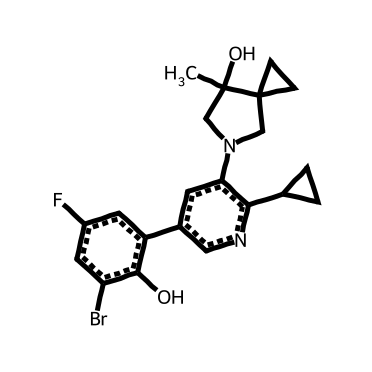 CC1(O)CN(c2cc(-c3cc(F)cc(Br)c3O)cnc2C2CC2)CC12CC2